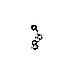 O=[C][C@H](Cc1cccc2ncccc12)NC(=O)OCc1ccccc1